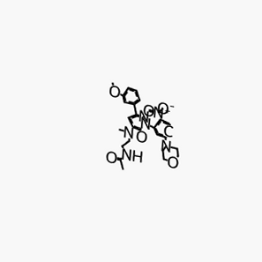 COc1cccc(-c2cc(N(C)CCNC(C)=O)c(=O)n(-c3cc(N4CCOCC4)ccc3[N+](=O)[O-])n2)c1